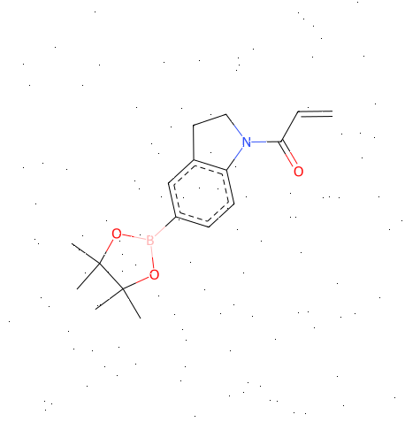 C=CC(=O)N1CCc2cc(B3OC(C)(C)C(C)(C)O3)ccc21